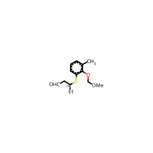 CC[C@@H](CC=O)Sc1cccc(C)c1OCOC